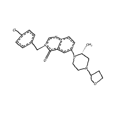 C[C@@H]1CN(C2CCOC2)CCN1c1ccc2ncn(Cc3ccc(Cl)cc3)c(=O)c2c1